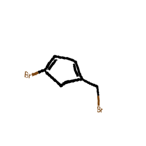 BrCC1=CC=C(Br)C1